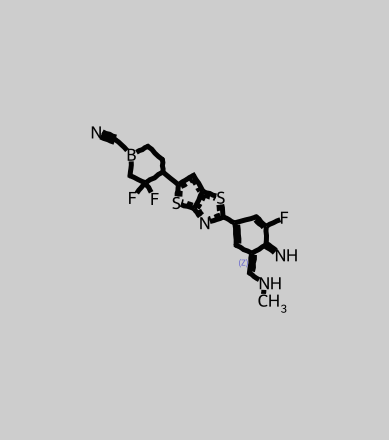 CN/C=C1/C=C(c2nc3sc(C4CCB(C#N)CC4(F)F)cc3s2)C=C(F)C1=N